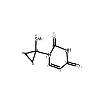 CSC1(n2ccc(=O)[nH]c2=O)CC1